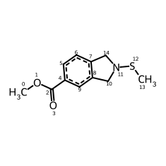 COC(=O)c1ccc2c(c1)CN(SC)C2